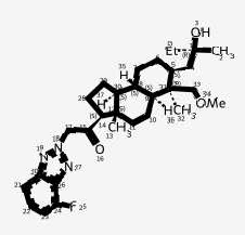 CC[C@@](C)(O)C[C@@H]1CC[C@@H]2[C@H](CC[C@]3(C)[C@@H](C(=O)Cn4nc5cccc(F)c5n4)CC[C@@H]23)[C@]1(C)COC